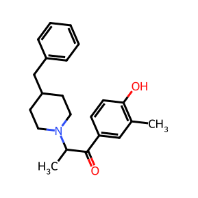 Cc1cc(C(=O)C(C)N2CCC(Cc3ccccc3)CC2)ccc1O